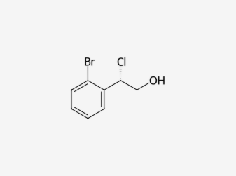 OC[C@@H](Cl)c1ccccc1Br